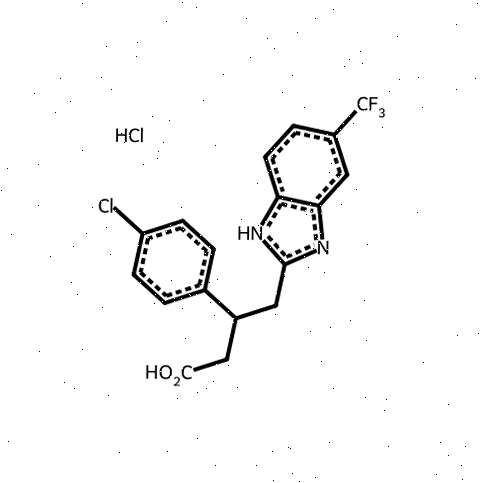 Cl.O=C(O)CC(Cc1nc2cc(C(F)(F)F)ccc2[nH]1)c1ccc(Cl)cc1